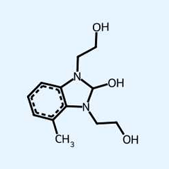 Cc1cccc2c1N(CCO)C(O)N2CCO